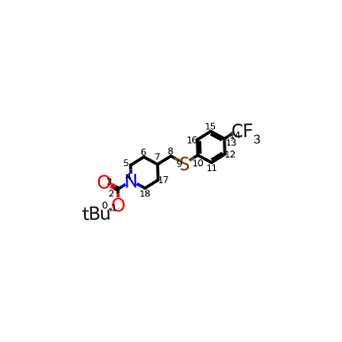 CC(C)(C)OC(=O)N1CCC(CSc2ccc(C(F)(F)F)cc2)CC1